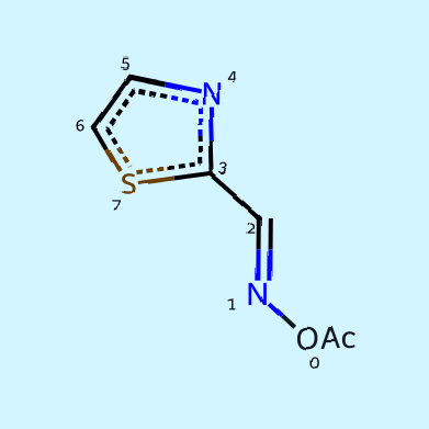 CC(=O)O/N=C/c1nccs1